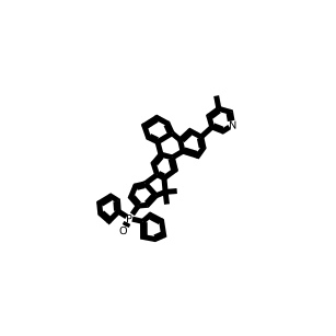 Cc1cncc(-c2ccc3c(c2)c2ccccc2c2cc4c(cc32)C(C)(C)c2cc(P(=O)(c3ccccc3)c3ccccc3)ccc2-4)c1